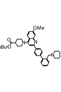 CCCCOC(=O)C1CCN(c2cc(-c3ccc(-c4ccccc4CN4CCOCC4)cc3)nc3cc(OC)ccc23)CC1